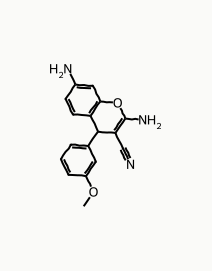 COc1cccc(C2C(C#N)=C(N)Oc3cc(N)ccc32)c1